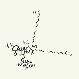 CCCCCCCCCCCCCC(=O)C(O)(C(=O)CCCCCCCCCCCCC)C(O)CO.Nc1ccn([C@H]2CC[C@@H](COP(=O)(O)OP(=O)(O)O)O2)c(=O)n1